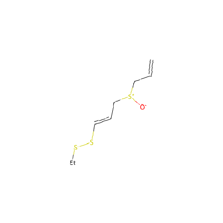 C=CC[S+]([O-])C/C=C/SSCC